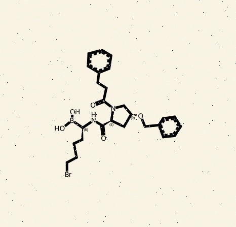 O=C(N[C@@H](CCCCBr)B(O)O)[C@@H]1C[C@@H](OCc2ccccc2)CN1C(=O)CCc1ccccc1